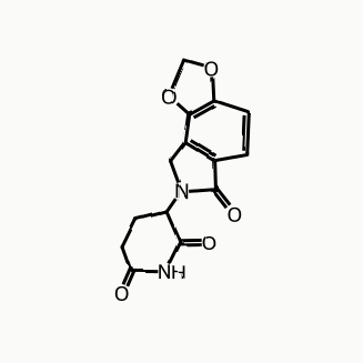 O=C1CCC(N2Cc3c(ccc4c3OCO4)C2=O)C(=O)N1